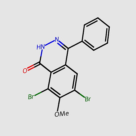 COc1c(Br)cc2c(-c3ccccc3)n[nH]c(=O)c2c1Br